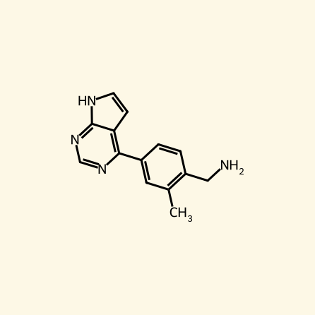 Cc1cc(-c2ncnc3[nH]ccc23)ccc1CN